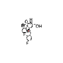 O=C1NC(CO)=CC(OCc2ccc(F)cc2F)C1(Br)c1c(F)cccc1F